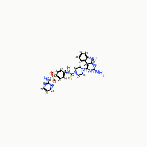 Nc1nc(N2CCN(C(=S)Nc3ccc(S(=O)(=O)Nc4ncccn4)cc3)CC2)c2c(n1)[nH]c1ccccc12